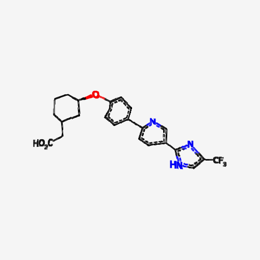 O=C(O)CC1CCC[C@@H](Oc2ccc(-c3ccc(-c4nc(C(F)(F)F)c[nH]4)cn3)cc2)C1